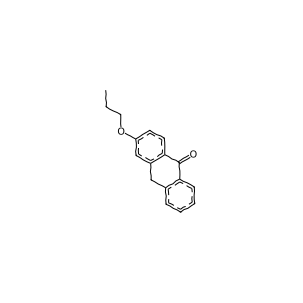 CCCOc1ccc2c(c1)Cc1ccccc1C2=O